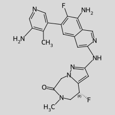 Cc1c(N)cncc1-c1cc2cc(Nc3cc4n(n3)CC(=O)N(C)C[C@H]4F)ncc2c(N)c1F